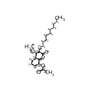 CCCCCCCCCCOc1c(OC)c2cccc(OC(C)=O)c2oc1=O